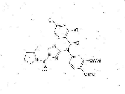 COc1ccc(N(C(=O)c2ccc(Cl)cc2Cl)c2nc(C(=O)N3CCCC3C)cs2)cc1OC